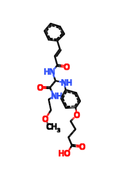 COCCNC(=O)C(NC(=O)C=Cc1ccccc1)Nc1ccc(OCCCC(=O)O)cc1